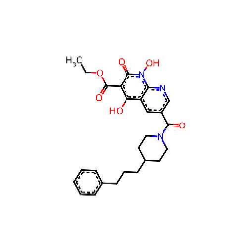 CCOC(=O)c1c(O)c2cc(C(=O)N3CCC(CCCc4ccccc4)CC3)cnc2n(O)c1=O